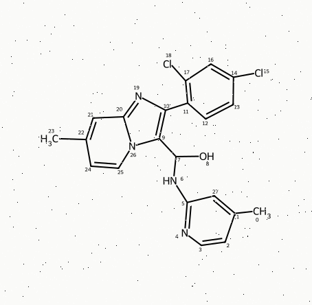 Cc1ccnc(NC(O)c2c(-c3ccc(Cl)cc3Cl)nc3cc(C)ccn23)c1